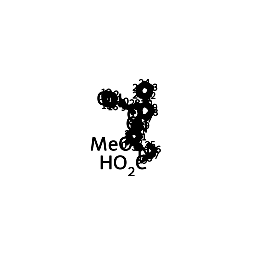 COc1cc2oc(C3(OCCCN4CCOCC4)C=CC=C(c4ccccc4)C3C)nc2cc1CN1CCC[C@H]1C(=O)O